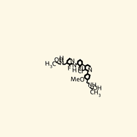 COc1cc(-c2nccc(-c3cccc(Nc4nccc(CNCC(C)O)c4F)c3Cl)c2Cl)ccc1CNCC(C)O